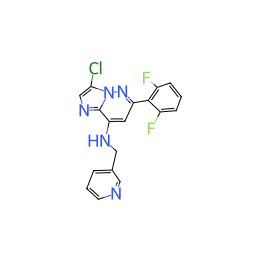 Fc1cccc(F)c1-c1cc(NCc2cccnc2)c2ncc(Cl)n2n1